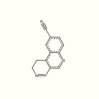 N#Cc1ccc2ncc3c(c2c1)CCN=C3